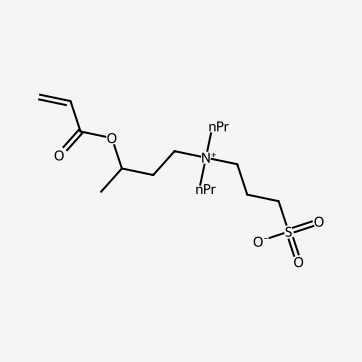 C=CC(=O)OC(C)CC[N+](CCC)(CCC)CCCS(=O)(=O)[O-]